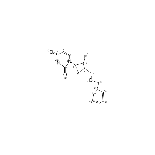 O=c1ccn(C2CC(COCc3ccccc3)C2F)c(=O)[nH]1